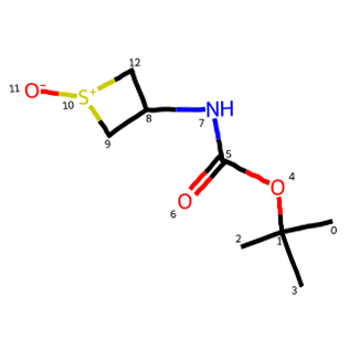 CC(C)(C)OC(=O)NC1C[S+]([O-])C1